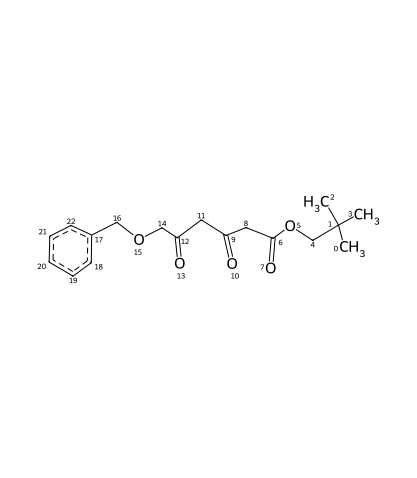 CC(C)(C)COC(=O)CC(=O)CC(=O)COCc1ccccc1